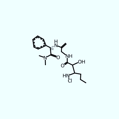 C=C(CNC(=O)C(O)C(CCC)NCl)N[C@H](C(=O)N(C)C)c1ccccc1